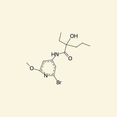 CCCC(O)(CC)C(=O)Nc1cc(Br)nc(OC)c1